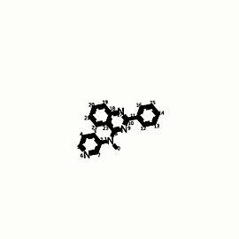 CN(c1cccnc1)c1nc(-c2ccccc2)nc2ccccc12